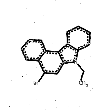 CCn1c2ccccc2c2c3ccccc3c(Br)cc21